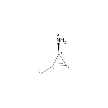 CC1=C[C@@H]1N